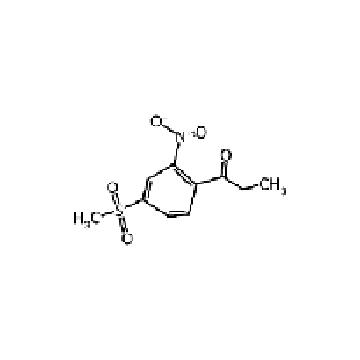 CCC(=O)c1ccc(S(C)(=O)=O)cc1[N+](=O)[O-]